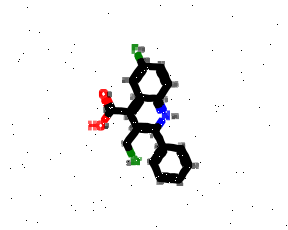 O=C(O)c1c(CBr)c(-c2ccccc2)nc2ccc(F)cc12